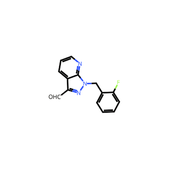 O=Cc1nn(Cc2ccccc2F)c2ncccc12